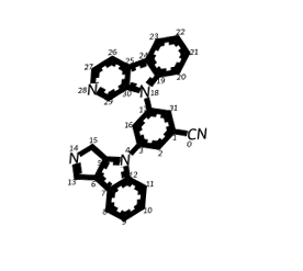 N#Cc1cc(-n2c3c(c4ccccc42)C=NC3)cc(-n2c3ccccc3c3ccncc32)c1